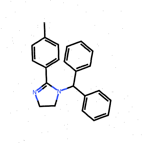 Cc1ccc(C2=NCCN2C(c2ccccc2)c2ccccc2)cc1